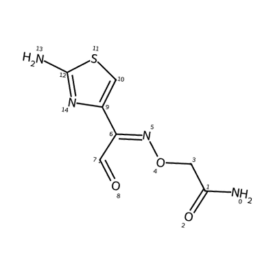 NC(=O)CON=C([C]=O)c1csc(N)n1